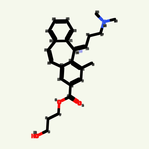 Cc1cc(C(=O)OCCCO)cc2c1/C(=C/CCN(C)C)c1ccccc1C=C2